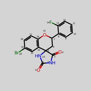 O=C1NC(=O)C2(CC(c3ccccc3F)Oc3ccc(Br)cc32)N1